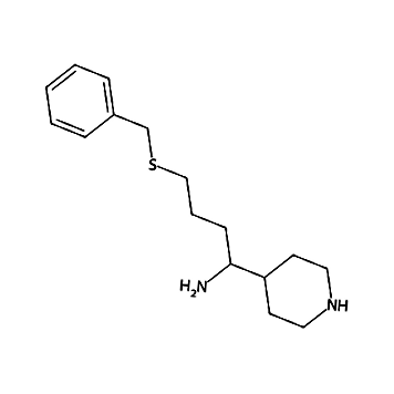 NC(CCCSCc1ccccc1)C1CCNCC1